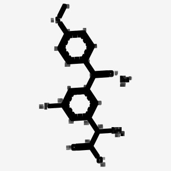 CSc1ccc(C(=O)c2cc(F)cc(C(N)C(=O)[O-])c2)cc1.[Na+]